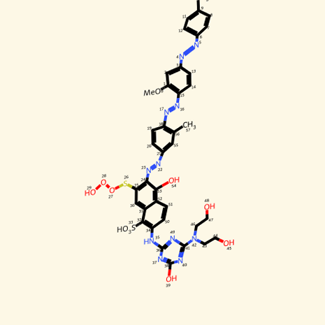 COc1cc(N=Nc2ccc(C)cc2)ccc1N=Nc1ccc(N=Nc2c(SOOO)cc3c(S(=O)(=O)O)c(Nc4nc(O)nc(N(CCO)CCO)n4)ccc3c2O)cc1C